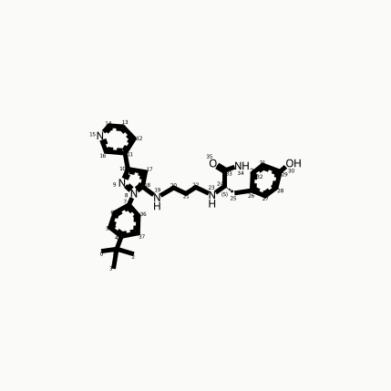 CC(C)(C)c1ccc(-n2nc(-c3cccnc3)cc2NCCCN[C@@H](Cc2ccc(O)cc2)C(N)=O)cc1